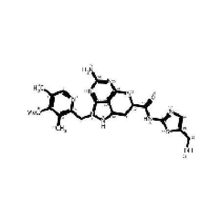 COc1c(C)cnc(CN2NC3CC(C(=O)Nc4ncc(CO)s4)Sc4nc(N)nc2c43)c1C